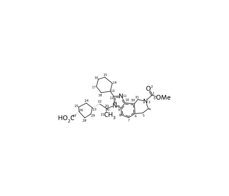 COC(=O)N1CCc2ccc3c(nc(C4CCCCC4)n3[C@H](C)C[C@H]3CC[C@@H](C(=O)O)CC3)c2C1